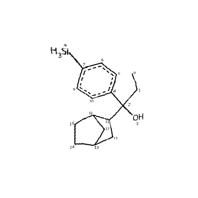 CCC(O)(c1ccc([SiH3])cc1)C1CC2CCC1C2